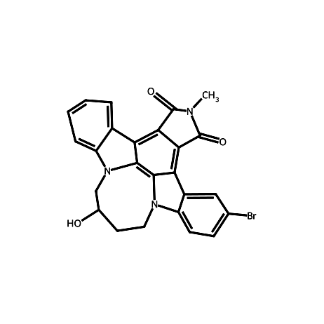 CN1C(=O)c2c(c3c4ccccc4n4c3c3c2c2cc(Br)ccc2n3CCC(O)C4)C1=O